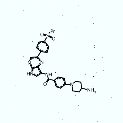 CC(C)S(=O)(=O)c1ccc(-c2cnc3[nH]cc(NC(=O)c4ccc(N5CCC(N)CC5)cc4)c3n2)cc1